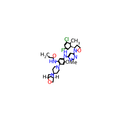 C=CC(=O)Nc1cc(Nc2cc(N3OCC[C@@H]3C3C=C(F)C=C(Cl)C3C)ncn2)c(OC)cc1N1CCC(N2C[C@H]3C[C@@H]2CO3)CC1